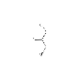 S=C(CCl)CCl